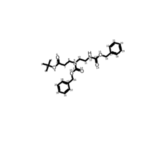 CC(C)(C)OC(=O)CCN(CCNC(=O)OCc1ccccc1)C(=O)OCc1ccccc1